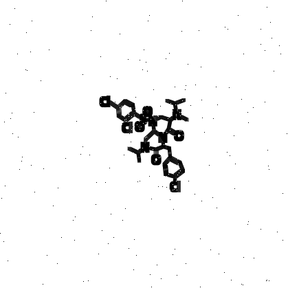 CC(C)N1CC2N(C(=O)C(N(C)C(C)C)CN2S(=O)(=O)c2ccc(Cl)cc2Cl)C(Cc2ccc(Cl)cc2)C1=O